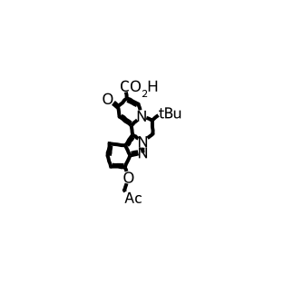 CC(=O)COc1cccc2c3n(nc12)CC(C(C)(C)C)n1cc(C(=O)O)c(=O)cc1-3